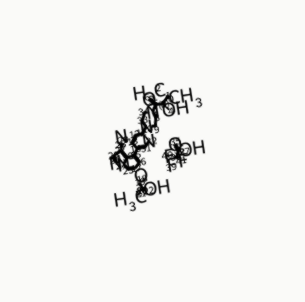 CC(C)[C@@H](O)C(=O)N1CCN(c2ccc(-c3cc(OC[C@@H](C)O)cn4ncc(C#N)c34)cn2)CC1.O=C(O)C(F)(F)F